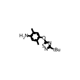 Cc1cc(Oc2nc(C(C)(C)C)ns2)c(C)cc1N